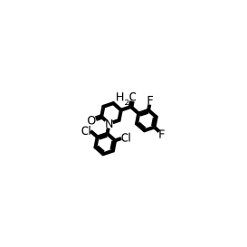 C=C(c1ccc(F)cc1F)C1CCC(=O)N(c2c(Cl)cccc2Cl)C1